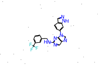 FC(F)(F)c1cccc(CNc2ncc3ncn(-c4ccc5cn[nH]c5c4)c3n2)c1